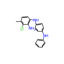 Cc1ccc(Nc2ccc(Nc3ccccc3)cc2)c(N)c1Cl